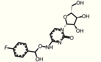 O=c1nc(NOC(O)c2ccc(F)cc2)ccn1[C@@H]1O[C@H](CO)[C@@H](O)[C@H]1O